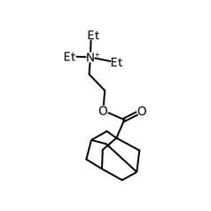 CC[N+](CC)(CC)CCOC(=O)C12CC3CC(CC(C3)C1)C2